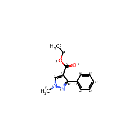 CCOC(=O)c1cn(C)nc1-c1ccccc1